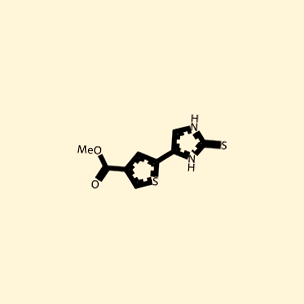 COC(=O)c1csc(-c2c[nH]c(=S)[nH]2)c1